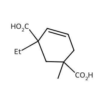 CCC1(C(=O)O)C=CCC(C)(C(=O)O)C1